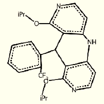 CC(C)Oc1nccc2c1C(c1ccccc1C(F)(F)F)c1c(ccnc1OC(C)C)N2